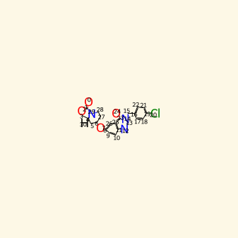 O=C1OC[C@@H]2C[C@@H](Oc3ccc4ncn(Cc5ccc(Cl)cc5)c(=O)c4c3)CCN12